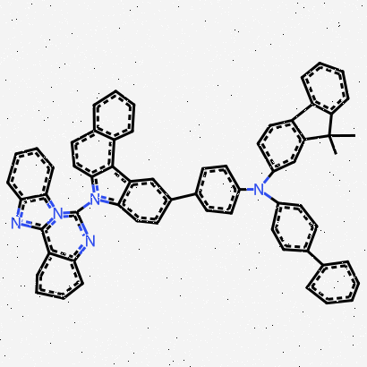 CC1(C)c2ccccc2-c2ccc(N(c3ccc(-c4ccccc4)cc3)c3ccc(-c4ccc5c(c4)c4c6ccccc6ccc4n5-c4nc5ccccc5c5nc6ccccc6n45)cc3)cc21